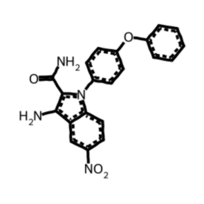 NC(=O)c1c(N)c2cc([N+](=O)[O-])ccc2n1-c1ccc(Oc2ccccc2)cc1